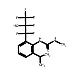 CNC(=O)Nc1c(C(C)C)cccc1C(F)(F)C(O)(F)C(F)(F)F